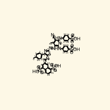 Cc1ccc(-c2nc(N=Nc3c(Nc4ccc(S(=O)(=O)O)cc4)nc(Nc4ccc(S(=O)(=O)O)cc4)c(C#N)c3C)sc2N=Nc2cc(S(=O)(=O)O)c3cccc(S(=O)(=O)O)c3c2)cc1